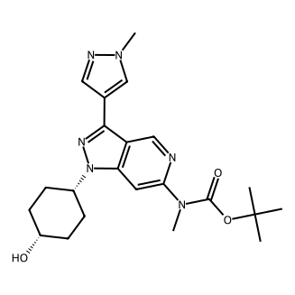 CN(C(=O)OC(C)(C)C)c1cc2c(cn1)c(-c1cnn(C)c1)nn2[C@H]1CC[C@@H](O)CC1